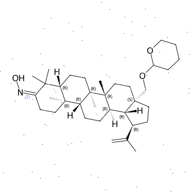 C=C(C)[C@@H]1CC[C@]2(COC3CCCCO3)CC[C@]3(C)[C@H](CC[C@@H]4[C@@]5(C)CC/C(=N/O)C(C)(C)[C@@H]5CC[C@]43C)[C@@H]12